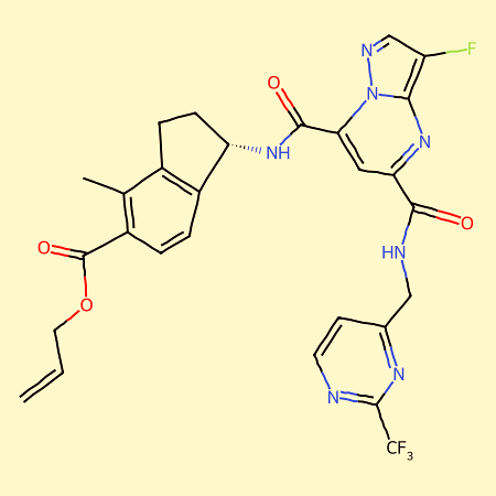 C=CCOC(=O)c1ccc2c(c1C)CC[C@@H]2NC(=O)c1cc(C(=O)NCc2ccnc(C(F)(F)F)n2)nc2c(F)cnn12